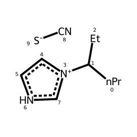 CCCC(CC)[n+]1cc[nH]c1.N#C[S-]